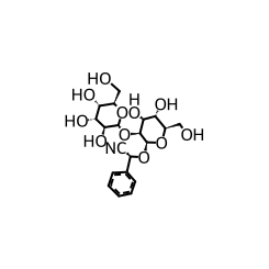 N#C[C@@H](O[C@@H]1O[C@H](CO)[C@@H](O)[C@H](O)[C@@H]1O[C@@H]1O[C@H](CO)[C@@H](O)[C@@H](O)[C@@H]1O)c1ccccc1